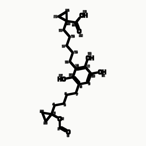 O=COC1(CCCCc2cc(O)c(O)c(CCCCCC3(C(=O)O)CC3)c2O)CC1